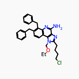 CCOCn1c(CCCCCl)nc2c(N)nc3c(Cc4ccccc4)c(Cc4ccccc4)ccc3c21